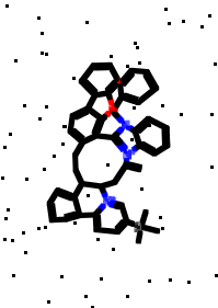 C=C1CC2C(CCc3ccc4c(oc5ccccc54)c3-c3n(Cc4ccccc4)c4ccccc4[n+]31)c1ccccc1-c1ccc([Si](C)(C)C)c[n+]12